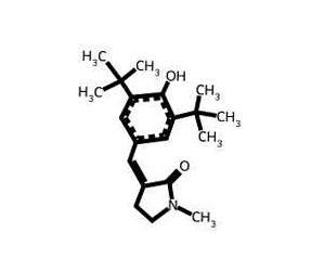 CN1CC/C(=C/c2cc(C(C)(C)C)c(O)c(C(C)(C)C)c2)C1=O